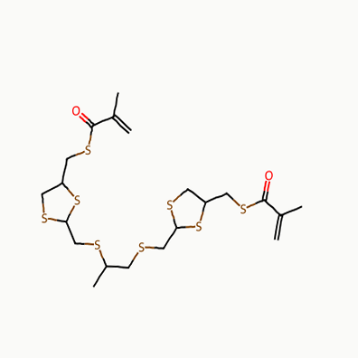 C=C(C)C(=O)SCC1CSC(CSCC(C)SCC2SCC(CSC(=O)C(=C)C)S2)S1